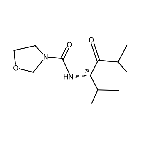 CC(C)C(=O)[C@@H](NC(=O)N1CCOC1)C(C)C